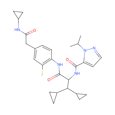 CC(C)n1nccc1C(=O)NC(C(=O)Nc1ccc(CC(=O)NC2CC2)cc1F)C(C1CC1)C1CC1